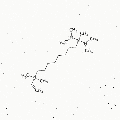 C=C[Si](C)(C)CCCCCCCC[Si](C)(N(C)C)N(C)C